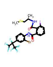 CSC[C@H](C)NC(=O)c1c(I)cccc1C(=O)Nc1ccc(C(F)(C(F)F)C(F)(F)F)cc1Br